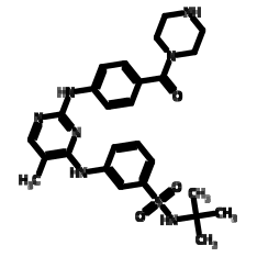 Cc1cnc(Nc2ccc(C(=O)N3CCNCC3)cc2)nc1Nc1cccc(S(=O)(=O)NC(C)(C)C)c1